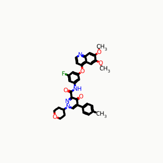 COc1cc2nccc(Oc3cc(F)cc(NC(=O)c4nn(C5CCOCC5)cc(-c5ccc(C)cc5)c4=O)c3)c2cc1OC